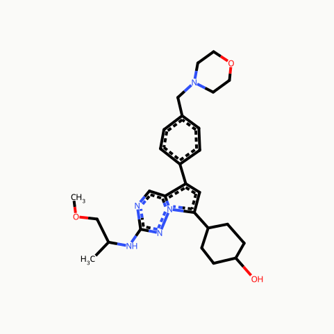 COCC(C)Nc1ncc2c(-c3ccc(CN4CCOCC4)cc3)cc(C3CCC(O)CC3)n2n1